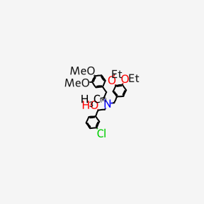 CCOc1ccc(CN(CC(O)c2cccc(Cl)c2)[C@H](C)Cc2ccc(OC)c(OC)c2)cc1OCC